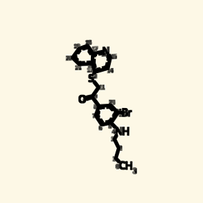 CCCCNc1ccc(C(=O)CSc2ccnc3ccccc23)cc1Br